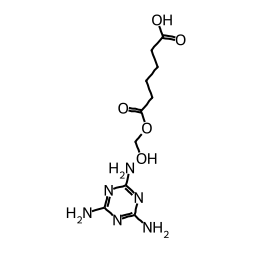 Nc1nc(N)nc(N)n1.O=C(O)CCCCC(=O)OCO